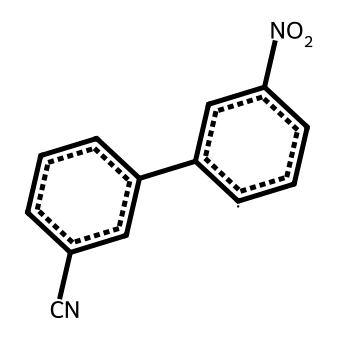 N#Cc1cccc(-c2[c]ccc([N+](=O)[O-])c2)c1